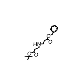 CC(C)(C)OC(=O)CCNCCC(=O)OCc1ccccc1